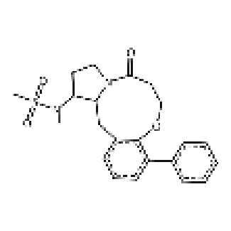 CS(=O)(=O)NC1CCN2C(=O)CCOc3c(cccc3-c3ccccc3)CC12